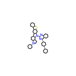 c1ccc(-c2ccc(-c3nc(-n4c5cc6sc7ccccc7c6cc5c5ccc6c(ccn6-c6ccccc6)c54)nc4ccccc34)cc2)cc1